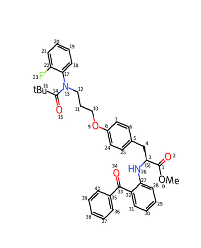 COC(=O)[C@H](Cc1ccc(OCCCN(C(=O)C(C)(C)C)c2ccccc2F)cc1)Nc1ccccc1C(=O)c1ccccc1